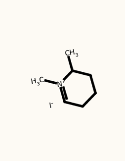 CC1CCCC=[N+]1C.[I-]